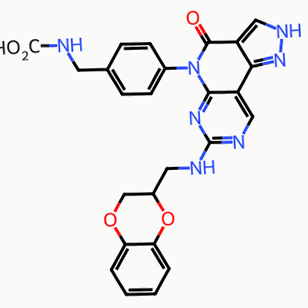 O=C(O)NCc1ccc(-n2c(=O)c3c[nH]nc3c3cnc(NCC4COc5ccccc5O4)nc32)cc1